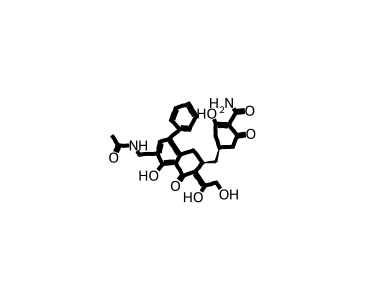 CC(=O)NCc1cc(-c2ccccc2)c2c(c1O)C(=O)/C(=C(\O)CO)[C@H](C[C@@H]1CC(=O)C(C(N)=O)=C(O)C1)C2